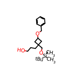 CC(C)(C)[Si](C)(C)OCC1(CCCO)CC(OCc2ccccc2)C1